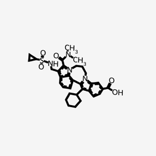 CN(C)C(=O)c1c(CNS(=O)(=O)C2CC2)c2cccc3c2n1CCCn1c-3c(C2CCCCC2)c2ccc(C(=O)O)cc21